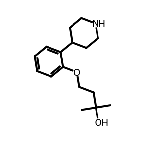 CC(C)(O)CCOc1ccccc1C1CCNCC1